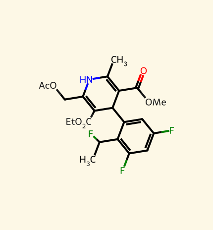 CCOC(=O)C1=C(COC(C)=O)NC(C)=C(C(=O)OC)C1c1cc(F)cc(F)c1C(C)F